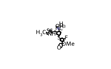 COC1(c2cc(F)cc(Sc3ccc(/C(C)=N/O)c(CCSN4NC=C(C)S4)c3)c2)CCOCC1